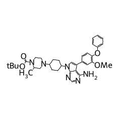 COc1cc(-c2cn(C3CCC(N4CCN(C(=O)OC(C)(C)C)C(C)C4)CC3)c3ncnc(N)c23)ccc1Oc1ccccc1